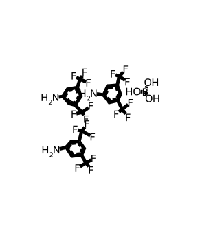 Nc1cc(C(F)(F)F)cc(C(F)(F)F)c1.Nc1cc(C(F)(F)F)cc(C(F)(F)F)c1.Nc1cc(C(F)(F)F)cc(C(F)(F)F)c1.OB(O)O